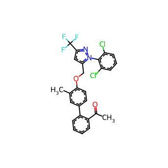 CC(=O)c1ccccc1-c1ccc(OCc2cc(C(F)(F)F)nn2-c2c(Cl)cccc2Cl)c(C)c1